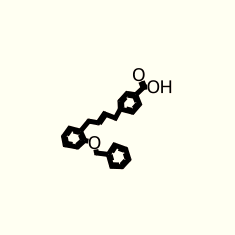 O=C(O)c1ccc(C/C=C/Cc2ccccc2OCc2ccccc2)cc1